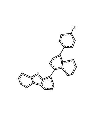 Brc1ccc(-c2ccc(-c3cccc4c3sc3ccccc34)c3ccccc23)cc1